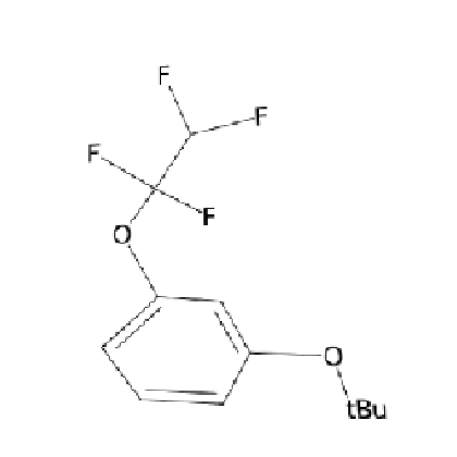 CC(C)(C)Oc1cccc(OC(F)(F)C(F)F)c1